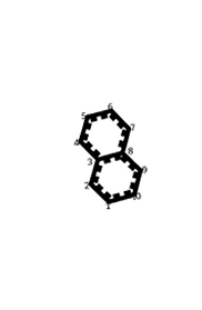 [c]1ccc2ccccc2c1